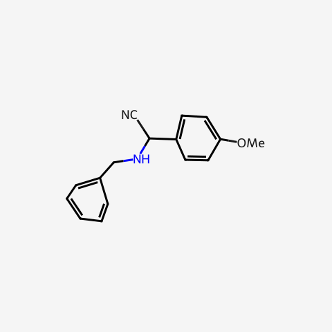 COc1ccc(C(C#N)NCc2ccccc2)cc1